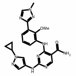 COc1c(Nc2nc(Nc3cnn(C4CC4)c3)ncc2C(N)=O)cccc1-c1ncn(C)n1